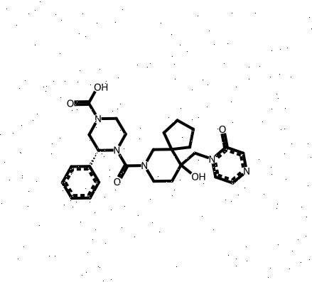 O=C(O)N1CCN(C(=O)N2CCC(O)(Cn3ccncc3=O)C3(CCCC3)C2)[C@H](c2ccccc2)C1